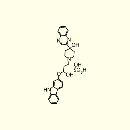 O=S(=O)(O)O.OC(CCN1CCC(O)(c2cnc3ccccc3n2)CC1)Oc1ccc2c(c1)[nH]c1ccccc12